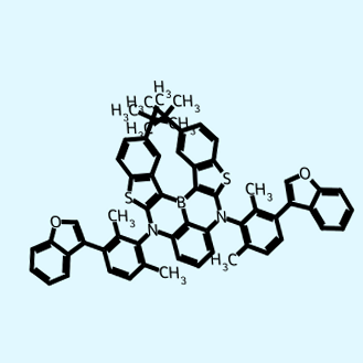 Cc1ccc(-c2coc3ccccc23)c(C)c1N1c2cccc3c2B(c2c1sc1ccc(C(C)(C)C)cc21)c1c(sc2ccc(C(C)(C)C)cc12)N3c1c(C)ccc(-c2coc3ccccc23)c1C